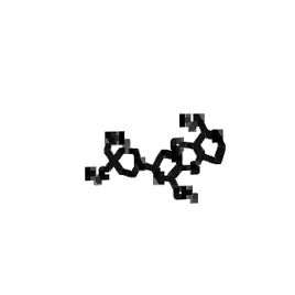 Cc1nc(N2CCC(C)(CN)CC2)cnc1Sc1ccnc(N)c1Cl